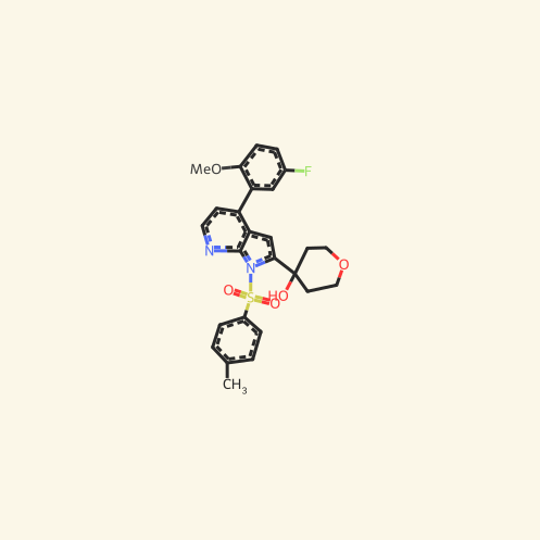 COc1ccc(F)cc1-c1ccnc2c1cc(C1(O)CCOCC1)n2S(=O)(=O)c1ccc(C)cc1